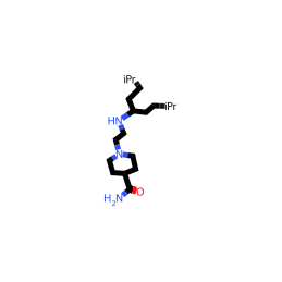 CC(C)CCC(CCC(C)C)NCCN1CCC(C(N)=O)CC1